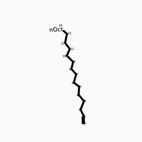 [CH]=CCCCCCCCCCCCCCCCCCCC[CH2]